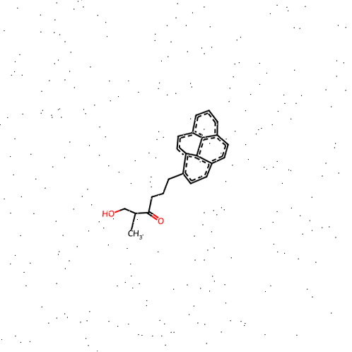 CC(CO)C(=O)CCCc1ccc2ccc3cccc4ccc1c2c34